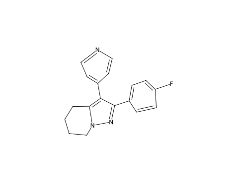 Fc1ccc(-c2nn3c(c2-c2ccncc2)CCCC3)cc1